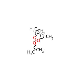 CC(C)CCOC(OCCC(C)C)OCCC(C)C